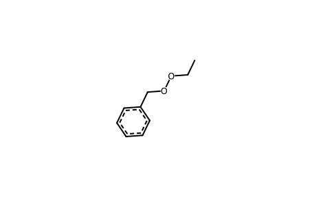 CCOOCc1ccccc1